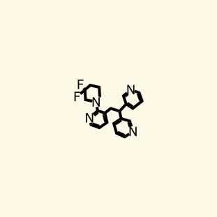 FC1(F)CCCN(c2ncccc2CC(c2cccnc2)c2cccnc2)C1